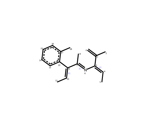 C=C(C)C(=C/C)/N=C(C)/C(=C/C)c1ccccc1C